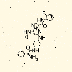 N[C@H](C(=O)NC1CCC(Nc2cc(NC3CC3)c3ncc(C(=O)Nc4ccncc4F)n3n2)CC1)c1ccccc1